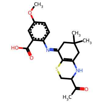 COc1ccc(/N=C2\CC(C)(C)CC3=C2SCC(C(C)=O)N3)c(C(=O)O)c1